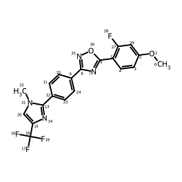 COc1ccc(-c2nc(-c3ccc(-c4nc(C(F)(F)F)cn4C)cc3)no2)c(F)c1